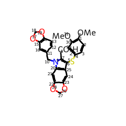 COc1ccc(Sc2c(C(=O)O)n(Cc3ccc4c(c3)OCO4)c3cc4c(cc23)OCO4)cc1OC